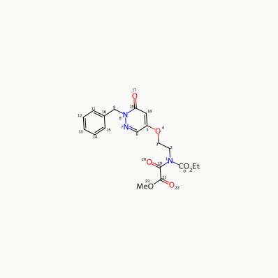 CCOC(=O)N(CCOc1cnn(Cc2ccccc2)c(=O)c1)C(=O)C(=O)OC